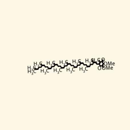 COC1=C(OC)C(=O)C(CC=C(C)CCC=C(C)CCC=C(C)CCC=C(C)CCC=C(C)CCC=C(C)CCC=C(C)CCC=C(C)CCC=C(C)CCC=C(C)C)=C(C)C1=O